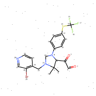 CC1(C)C(C(=O)C=O)N(c2ccc(SC(F)(F)F)cc2)CN1Cc1ccncc1Br